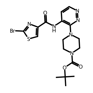 CC(C)(C)OC(=O)N1CCN(c2nnccc2NC(=O)c2csc(Br)n2)CC1